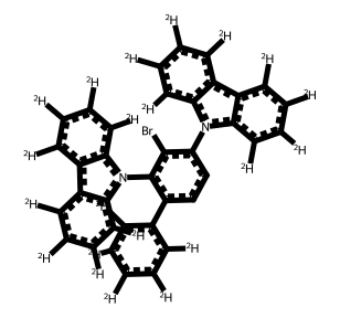 [2H]c1c([2H])c([2H])c(-c2ccc(-n3c4c([2H])c([2H])c([2H])c([2H])c4c4c([2H])c([2H])c([2H])c([2H])c43)c(Br)c2-n2c3c([2H])c([2H])c([2H])c([2H])c3c3c([2H])c([2H])c([2H])c([2H])c32)c([2H])c1[2H]